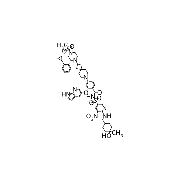 CC1(O)CCC(CNc2ncc(S(=O)(=O)NC(=O)c3ccc(N4CCC5(CC4)CC(N4CCN(S(C)(=O)=O)C[C@H]4c4ccccc4C4CC4)C5)cc3Oc3cnc4[nH]ccc4c3)cc2[N+](=O)[O-])CC1